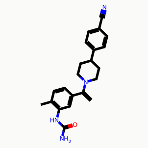 C=C(c1ccc(C)c(NC(N)=O)c1)N1CCC(c2ccc(C#N)cc2)CC1